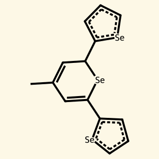 CC1=CC(c2ccc[se]2)[Se]C(c2ccc[se]2)=C1